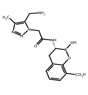 Cc1nnn(CC(=O)N[C@H]2Cc3cccc(C(=O)O)c3OB2O)c1CN